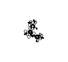 CC[C@H]1O[C@@H](Oc2cc(OC(C)=O)c3c(=O)cc(-c4cc(OC)c(OC(C)=O)c(OC)c4)oc3c2)[C@H](OC(C)=O)[C@@H](OC(C)=O)[C@@H]1C